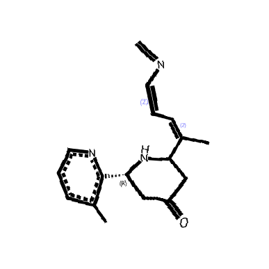 C=N/C=C\C=C(\C)C1CC(=O)C[C@H](c2ncccc2C)N1